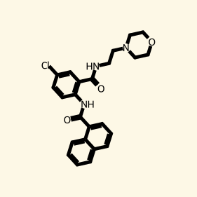 O=C(NCCN1CCOCC1)c1cc(Cl)ccc1NC(=O)c1cccc2ccccc12